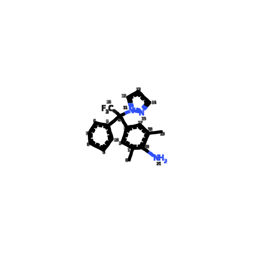 Cc1cc(C(c2ccccc2)(n2cccn2)C(F)(F)F)cc(C)c1N